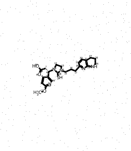 COc1ccc([C@H](CC(=O)O)N2CCN(CCCc3ccc4c(n3)NCCC4)C2S)cn1